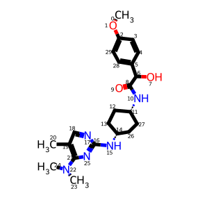 COc1ccc(C(O)C(=O)N[C@H]2CC[C@@H](Nc3ncc(C)c(N(C)C)n3)CC2)cc1